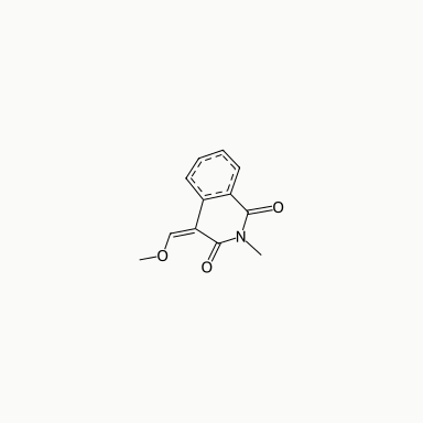 COC=C1C(=O)N(C)C(=O)c2ccccc21